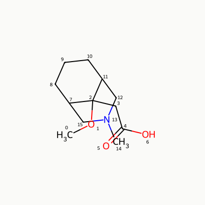 COC1(CC(=O)O)C2CCCC1CN(C)C2